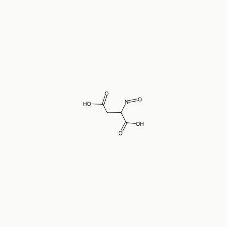 O=NC(CC(=O)O)C(=O)O